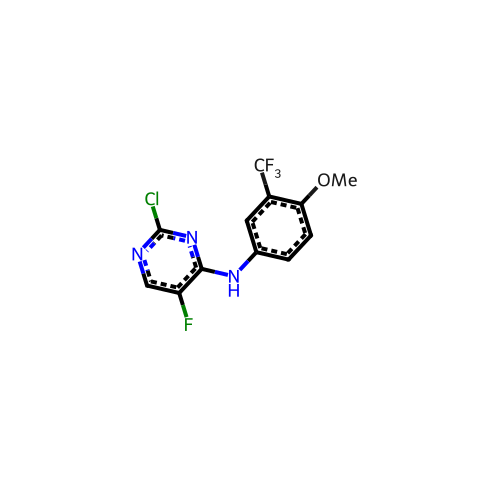 COc1ccc(Nc2nc(Cl)ncc2F)cc1C(F)(F)F